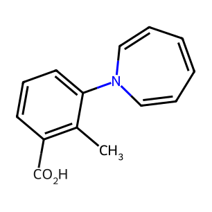 Cc1c(C(=O)O)cccc1N1C=CC=CC=C1